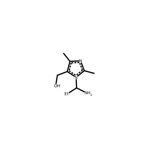 CCC(N)n1c(C)nc(C)c1CO